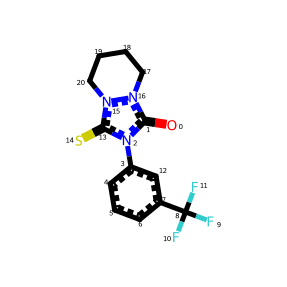 O=c1n(-c2cccc(C(F)(F)F)c2)c(=S)n2n1CCCC2